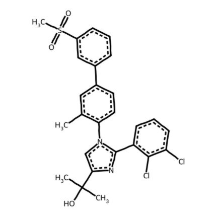 Cc1cc(-c2cccc(S(C)(=O)=O)c2)ccc1-n1cc(C(C)(C)O)nc1-c1cccc(Cl)c1Cl